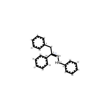 c1ccc(C/C(=N/Nc2ccccc2)c2ccccc2)cc1